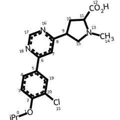 CC(C)Oc1ccc(-c2cc(C3CC(C(=O)O)N(C)C3)ncn2)cc1Cl